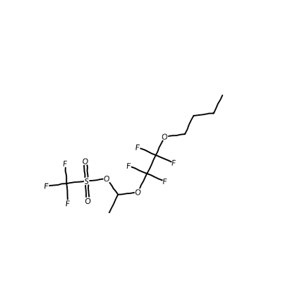 CCCCOC(F)(F)C(F)(F)OC(C)OS(=O)(=O)C(F)(F)F